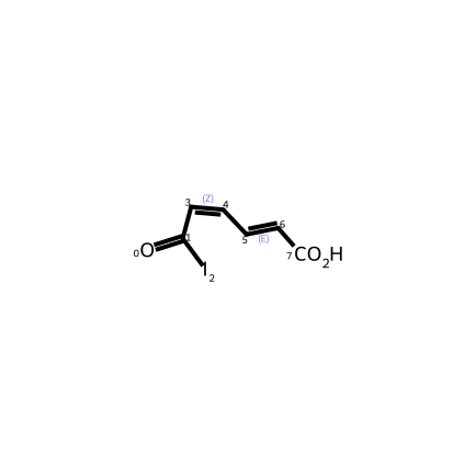 O=C(I)/C=C\C=C\C(=O)O